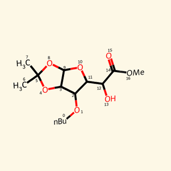 CCCCOC1C2OC(C)(C)OC2OC1C(O)C(=O)OC